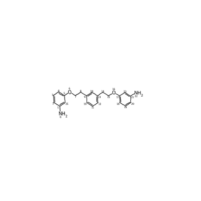 Nc1cccc(OCCc2cccc(CCOc3cccc(N)c3)c2)c1